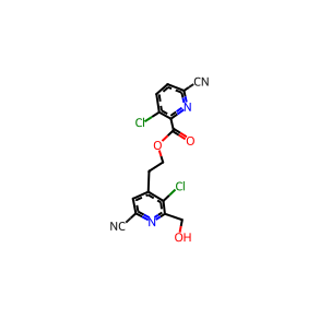 N#Cc1cc(CCOC(=O)c2nc(C#N)ccc2Cl)c(Cl)c(CO)n1